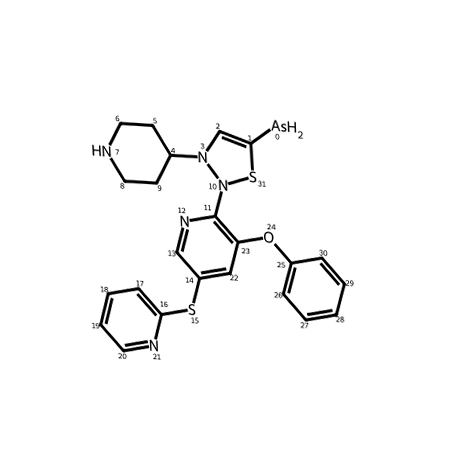 [AsH2]C1=CN(C2CCNCC2)N(c2ncc(Sc3ccccn3)cc2Oc2ccccc2)S1